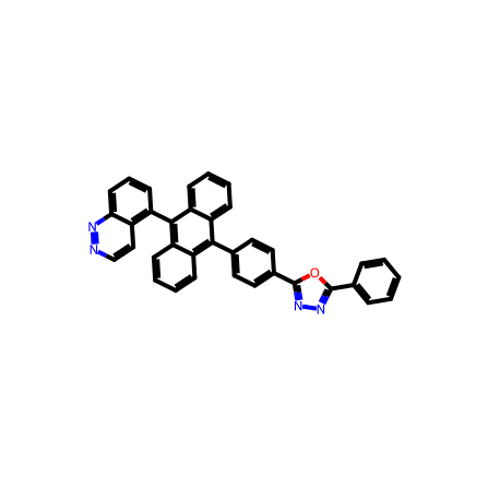 c1ccc(-c2nnc(-c3ccc(-c4c5ccccc5c(-c5cccc6nnccc56)c5ccccc45)cc3)o2)cc1